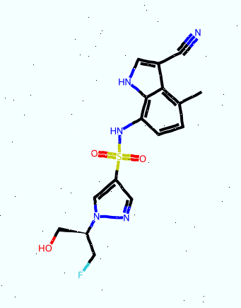 Cc1ccc(NS(=O)(=O)c2cnn([C@H](CO)CF)c2)c2[nH]cc(C#N)c12